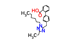 CCCCCCn1nc(CC)nc1Cc1ccc(-c2ccccc2C(=O)O)cc1